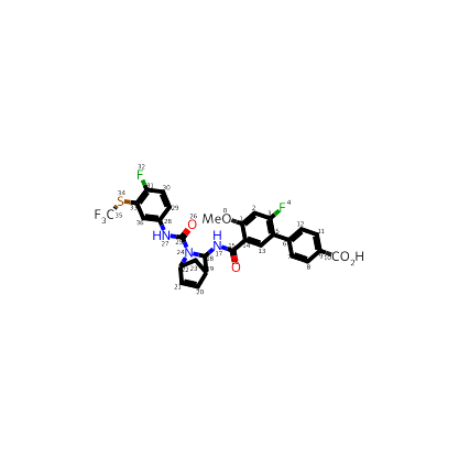 COc1cc(F)c(-c2ccc(C(=O)O)cc2)cc1C(=O)NC1C2C=CC(C2)N1C(=O)Nc1ccc(F)c(SC(F)(F)F)c1